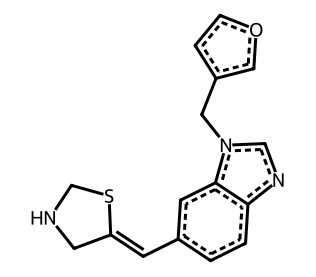 C(=C1CNCS1)c1ccc2ncn(Cc3ccoc3)c2c1